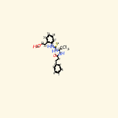 O=C(C=Cc1ccccc1)NC(NC(=S)Nc1ccccc1CCO)C(Cl)(Cl)Cl